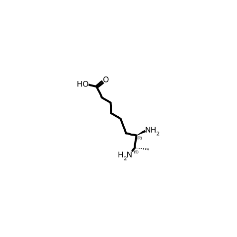 C[C@H](N)[C@H](N)CCCCCC(=O)O